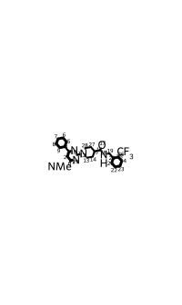 CNc1cc(-c2ccccc2)nc(N2CCC(C(=O)NCc3ccccc3C(F)(F)F)CC2)n1